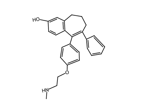 CNCCOc1ccc(C2=C(c3ccccc3)CCCc3cc(O)ccc32)cc1